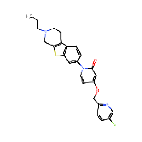 CCCN1CCc2c(sc3cc(-n4ccc(OCc5ccc(F)cn5)cc4=O)ccc23)C1